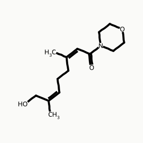 CC(=CCCC(C)=CC(=O)N1CCOCC1)CO